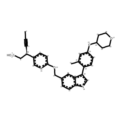 CC#C[C@H](CC(=O)O)c1ccc(OCc2ccc3scc(-c4ccc(OC5CCOCC5)cc4C)c3c2)nc1